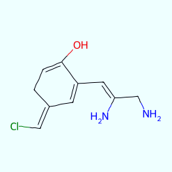 NCC(N)=CC1=CC(=CCl)CC=C1O